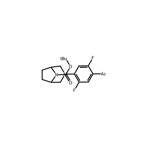 CC(=O)c1cc(F)c(N2CC3CCC(C2)N3C(=O)OC(C)(C)C)cc1F